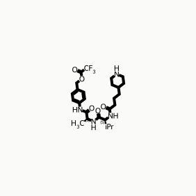 CC(C)[C@H](NC(=O)CCCC1CCNCC1)C(=O)N[C@@H](C)C(=O)Nc1ccc(COC(=O)C(F)(F)F)cc1